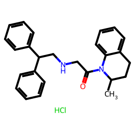 CC1CCc2ccccc2N1C(=O)CNCC(c1ccccc1)c1ccccc1.Cl